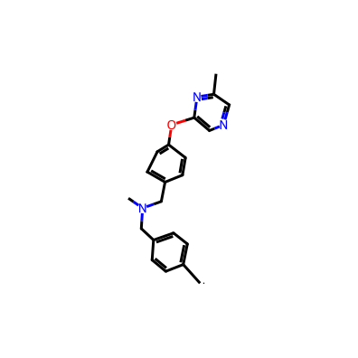 [CH2]c1ccc(CN(C)Cc2ccc(Oc3cncc(C)n3)cc2)cc1